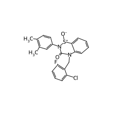 Cc1ccc(N2C(=O)N(Cc3c(F)cccc3Cl)c3ccccc3[S+]2[O-])cc1C